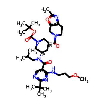 COCCCNc1nc(C(C)(C)C)ncc1C(=O)N(CC(C)C)[C@H]1C[C@@H](C(=O)N2CCc3nc(C)oc3C2)CN(C(=O)OC(C)(C)C)C1